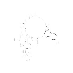 CC[C@@H]1[C@@H]2CN(C(=O)[C@H](C(C)(C)C)NC(=O)O[C@]3(C)C[C@H]3CCCCC(F)(F)c3nc4ccc(OC)cc4nc3O2)[C@@H]1C(=O)N[C@]1(C(=O)NS(=O)(=O)C2(C)CC2)C[C@H]1C(F)F